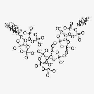 O=P([O-])([O-])OP(=O)([O-])OP(=O)([O-])OP(=O)([O-])OP(=O)([O-])[O-].O=P([O-])([O-])OP(=O)([O-])OP(=O)([O-])OP(=O)([O-])OP(=O)([O-])[O-].O=P([O-])([O-])OP(=O)([O-])OP(=O)([O-])OP(=O)([O-])OP(=O)([O-])[O-].[Nd+3].[Nd+3].[Nd+3].[Nd+3].[Nd+3].[Nd+3].[Nd+3]